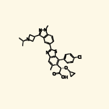 Cc1cc2nc(-c3ccc4c(c3)c(C3CN(C(C)C)C3)nn4C)sc2c(-c2ccc(Cl)cc2)c1[C@H](OC1CC1)C(=O)O